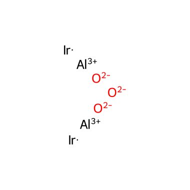 [Al+3].[Al+3].[Ir].[Ir].[O-2].[O-2].[O-2]